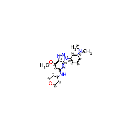 COc1cc(NC2CCOCC2)nc2c1nnn2-c1cccc(N(C)C)c1